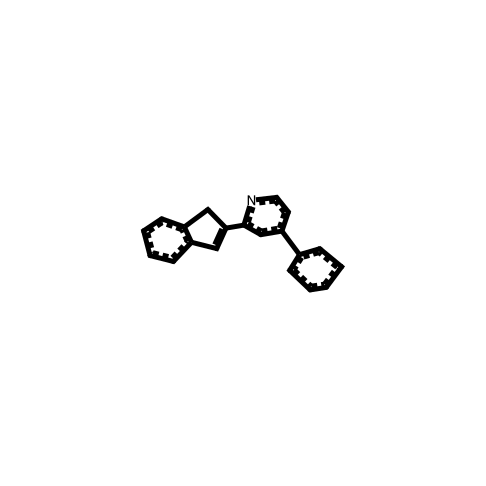 C1=C(c2cc(-c3ccccc3)ccn2)Cc2ccccc21